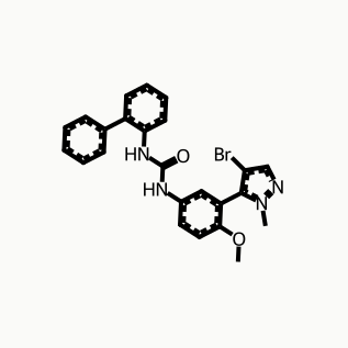 COc1ccc(NC(=O)Nc2ccccc2-c2ccccc2)cc1-c1c(Br)cnn1C